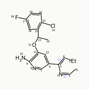 C/C=N\C(=C/CC)c1cnc(N)c(OC(C)c2cc(F)ccc2Cl)c1